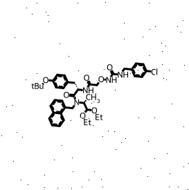 CCOC(OCC)[C@H](C)N(Cc1cccc2ccccc12)C(=O)[C@H](Cc1ccc(OC(C)(C)C)cc1)NC(=O)CONC(=O)NCc1ccc(Cl)cc1